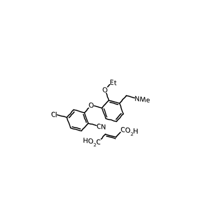 CCOc1c(CNC)cccc1Oc1cc(Cl)ccc1C#N.O=C(O)C=CC(=O)O